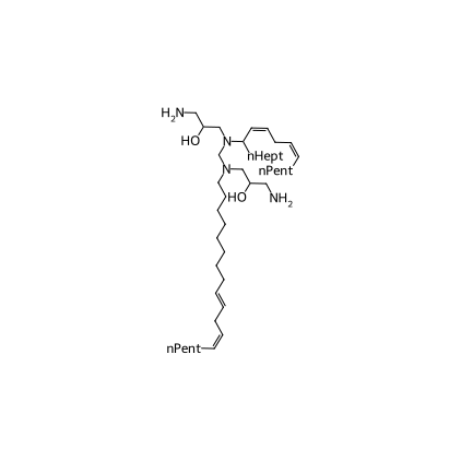 CCCCC/C=C\C/C=C\C(CCCCCCC)N(CC(O)CN)CN(CCCCCCCC/C=C/C/C=C\CCCCC)CC(O)CN